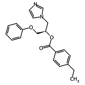 CCc1ccc(C(=O)O[C@@H](COc2ccccc2)Cn2ccnc2)cc1